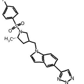 C[C@H]1CC(Cn2ccc3cc(-c4cn[nH]n4)ccc32)CN1S(=O)(=O)c1ccc(F)cc1